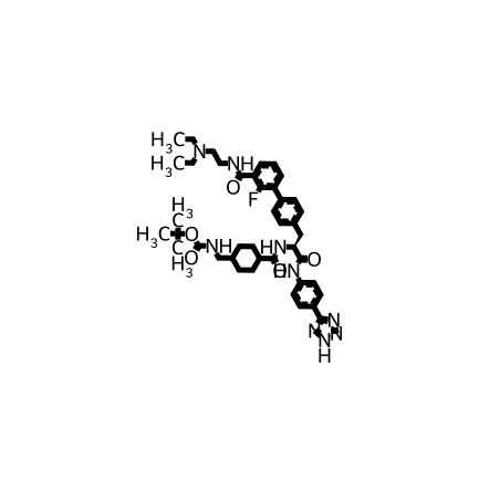 CCN(CC)CCNC(=O)c1cccc(-c2ccc(C[C@H](NC(=O)C3CCC(CNC(=O)OC(C)(C)C)CC3)C(=O)Nc3ccc(-c4nn[nH]n4)cc3)cc2)c1F